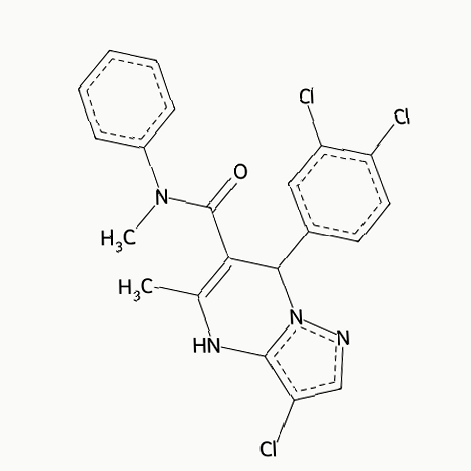 CC1=C(C(=O)N(C)c2ccccc2)C(c2ccc(Cl)c(Cl)c2)n2ncc(Cl)c2N1